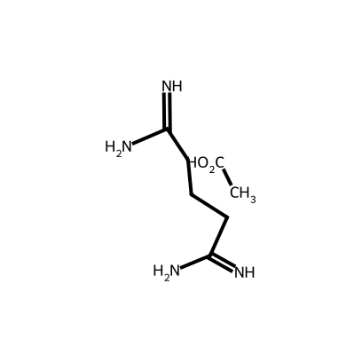 CC(=O)O.N=C(N)CCCC(=N)N